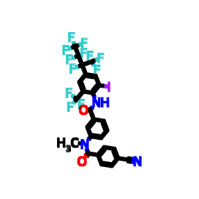 CN(C(=O)c1ccc(C#N)cc1)c1cccc(C(=O)Nc2c(I)cc(C(F)(C(F)(F)F)C(F)(F)C(F)(F)F)cc2C(F)(F)F)c1